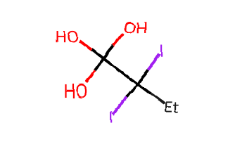 CCC(I)(I)C(O)(O)O